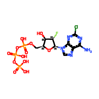 Nc1nc(Cl)nc2c1ncn2[C@@H]1O[C@H](COP(=O)(O)OP(=O)(O)OP(=O)(O)O)[C@@H](O)[C@@H]1F